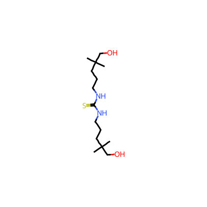 CC(C)(CO)CCCNC(=S)NCCCC(C)(C)CO